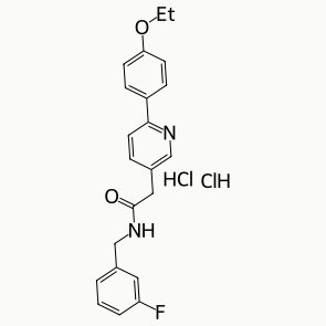 CCOc1ccc(-c2ccc(CC(=O)NCc3cccc(F)c3)cn2)cc1.Cl.Cl